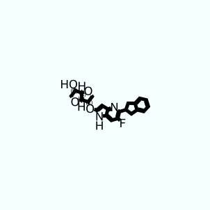 O[C@@H]1CO[C@H]2[C@@H]1OC[C@H]2Oc1cc2nc(C3Cc4ccccc4C3)c(F)cc2[nH]1